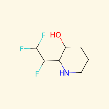 OC1CCCNC1C(F)C(F)F